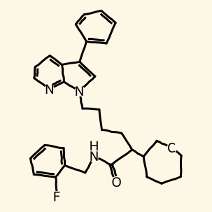 O=C(NCc1ccccc1F)C(CCCCn1cc(-c2ccccc2)c2cccnc21)C1CCCCCC1